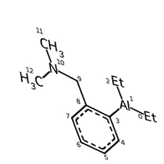 C[CH2][Al]([CH2]C)[c]1ccccc1CN(C)C